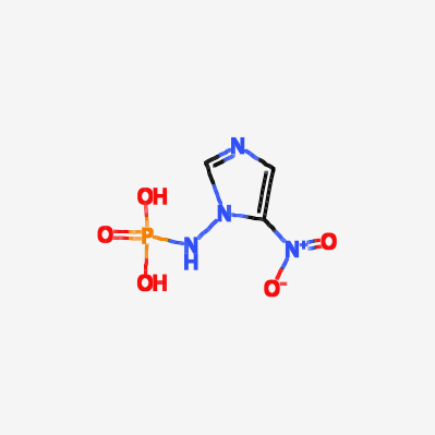 O=[N+]([O-])c1cncn1NP(=O)(O)O